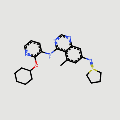 Cc1cc(N=S2CCCC2)cc2ncnc(Nc3cccnc3OC3CCCCC3)c12